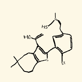 C=C(O)c1c(-c2cc(CN(C)S)ccc2CC)sc2c1CC(C)(C)CC2